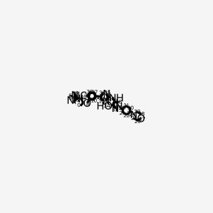 CC(Cn1cncn1)Oc1cc(-c2cnc(Nc3cn(C4CCC(N5CCOCC5)CC4)nc3O)nc2)ccc1C#N